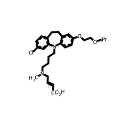 CC(C)OCCOc1ccc2c(c1)CCc1ccc(Cl)cc1N2CCCCN(C)C/C=C/C(=O)O